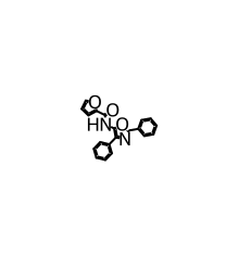 O=C(Nc1oc(-c2ccccc2)nc1-c1ccccc1)c1ccco1